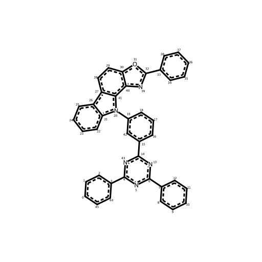 c1ccc(-c2nc(-c3ccccc3)nc(-c3cccc(-n4c5ccccc5c5ccc6oc(-c7ccccc7)nc6c54)c3)n2)cc1